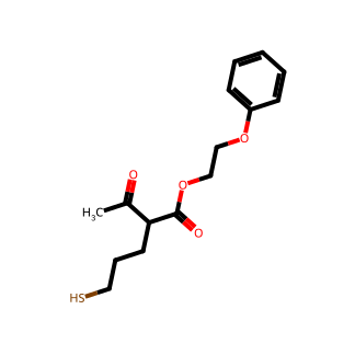 CC(=O)C(CCCS)C(=O)OCCOc1ccccc1